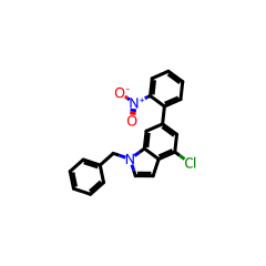 O=[N+]([O-])c1ccccc1-c1cc(Cl)c2ccn(Cc3ccccc3)c2c1